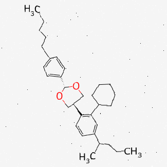 CCCCCc1ccc([C@H]2OC[C@H](c3ccc(C(C)CCC)cc3C3CCCCC3)CO2)cc1